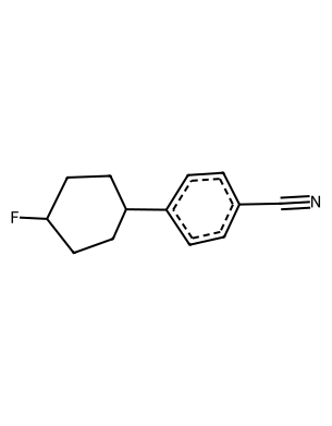 N#Cc1ccc(C2CCC(F)CC2)cc1